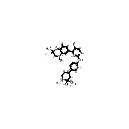 CC(C)N1CC(C)(C)Oc2c(F)cc(-c3nc(Nc4ccc(C5CCN(C)C(C)(C)C5)cn4)ncc3F)cc21